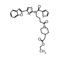 CCOC(=O)CC1CCN(C(=O)CCCN(C(=O)c2cccs2)c2nc(-c3cc4ccccc4o3)cs2)CC1